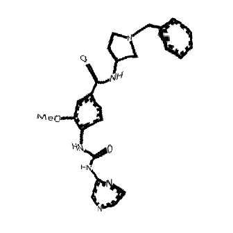 COc1cc(C(=O)NC2CCN(Cc3ccccc3)C2)ccc1NC(=O)Nc1cnccn1